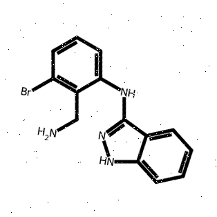 NCc1c(Br)cccc1Nc1n[nH]c2ccccc12